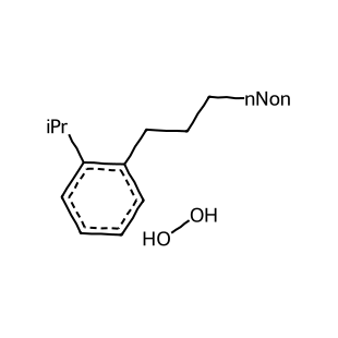 CCCCCCCCCCCCc1ccccc1C(C)C.OO